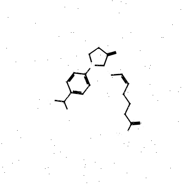 CCCCCC(O)c1ccc(N2CCC(=O)[C@@H]2C/C=C\CCCC(=O)OC)cc1